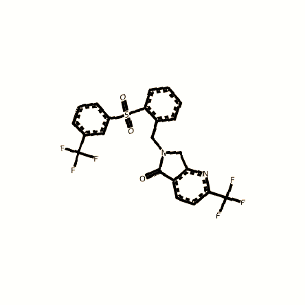 O=C1c2ccc(C(F)(F)F)nc2CN1Cc1ccccc1S(=O)(=O)c1cccc(C(F)(F)F)c1